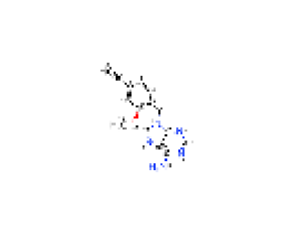 C#Cc1ccc(Cn2cnc3c(N)ncnc32)c(OC)c1